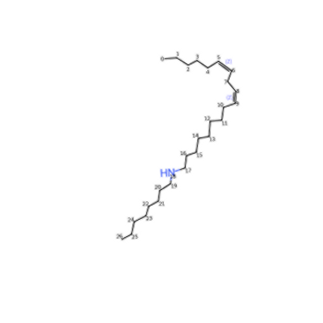 CCCCC/C=C\C/C=C\CCCCCCCCNCCCCCCCC